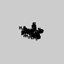 CCC[C@H](NC(=O)[C@@H]1C[C@@H](Oc2ccc(Cl)cn2)CN1C(=O)[C@@H](NC(=O)[C@@H](NC(=S)Nc1ccccc1N)C1CCCCC1)C(C)(C)C)C(O)C(=O)NC1CC1